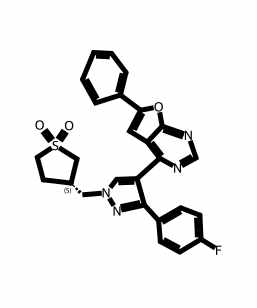 O=S1(=O)CC[C@@H](Cn2cc(-c3ncnc4oc(-c5ccccc5)cc34)c(-c3ccc(F)cc3)n2)C1